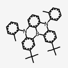 Cc1ccccc1N1c2ccc(C(C)(C)C)cc2B2c3cc(C(C)(C)C)ccc3N(c3ccccc3C)c3cccc1c32